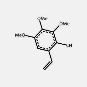 C=Cc1cc(OC)c(OC)c(OC)c1C#N